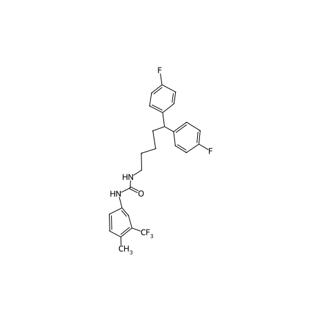 Cc1ccc(NC(=O)NCCCCC(c2ccc(F)cc2)c2ccc(F)cc2)cc1C(F)(F)F